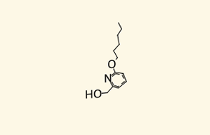 CCCCCCOc1cccc(CO)n1